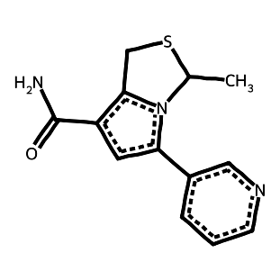 CC1SCc2c(C(N)=O)cc(-c3cccnc3)n21